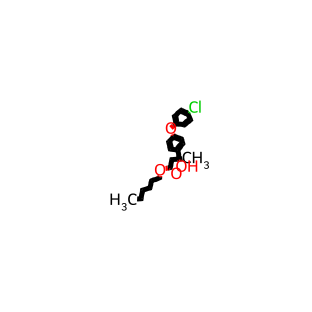 CCCCCCOC(=O)CC(C)(O)c1ccc(Oc2ccc(Cl)cc2)cc1